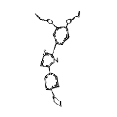 CCOc1ccc(-c2nc(-c3ccc(Cl)cc3)cs2)cc1OCC